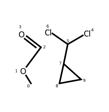 COC=O.ClC(Cl)C1CC1